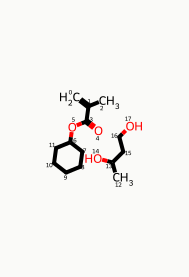 C=C(C)C(=O)OC1CCCCC1.CC(O)CCO